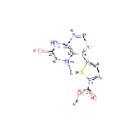 COC(=O)c1ccc(-c2ncnc3c2N(C)CC(=O)N3)s1